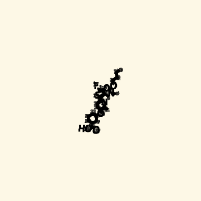 CCCCOC(=O)N(C)Cc1cc(F)sc1-c1ccc(O[C@H]2CCC[C@H](C(=O)O)C2)c(C)n1